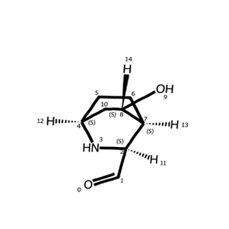 O=C[C@H]1N[C@H]2CC[C@@H]1[C@@H](O)C2